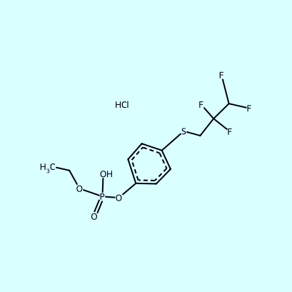 CCOP(=O)(O)Oc1ccc(SCC(F)(F)C(F)F)cc1.Cl